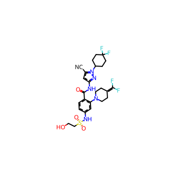 N#Cc1cc(NC(=O)c2ccc(NS(=O)(=O)CCO)cc2N2CCC(=C(F)F)CC2)nn1C1CCC(F)(F)CC1